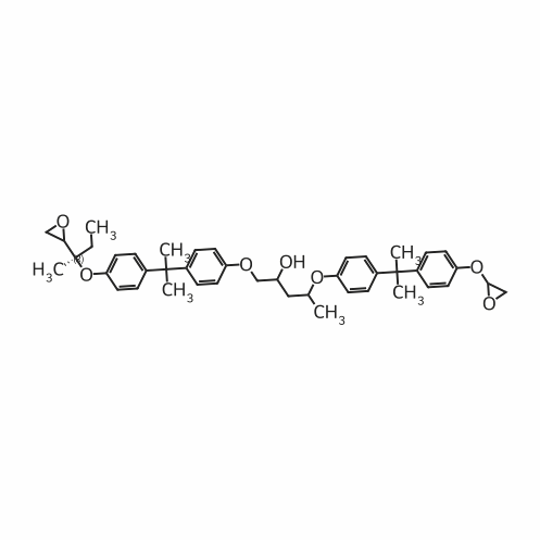 CC[C@@](C)(Oc1ccc(C(C)(C)c2ccc(OCC(O)CC(C)Oc3ccc(C(C)(C)c4ccc(OC5CO5)cc4)cc3)cc2)cc1)C1CO1